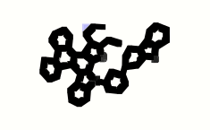 C=Cc1oc2c(c1/C=C\C)c1c3ccccc3c3ccccc3c1c1c3ccccc3n(-c3cccc(-c4ccc5c(c4)sc4ccccc45)c3)c21